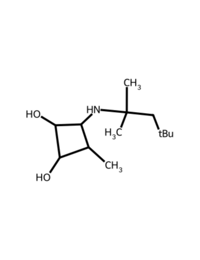 CC1C(O)C(O)C1NC(C)(C)CC(C)(C)C